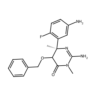 CN1C(=O)C(OCc2ccccc2)[C@@](C)(c2cc(N)ccc2F)N=C1N